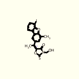 C/C(=C1\OC(=S)N(CO)C1=O)c1cc(C)c2oc3c(I)cccc3c2c1